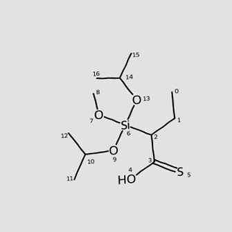 CCC(C(O)=S)[Si](OC)(OC(C)C)OC(C)C